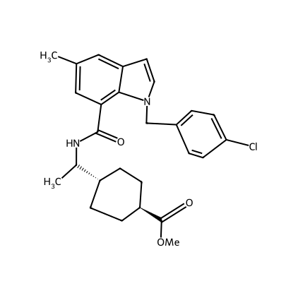 COC(=O)[C@H]1CC[C@H](C(C)NC(=O)c2cc(C)cc3ccn(Cc4ccc(Cl)cc4)c23)CC1